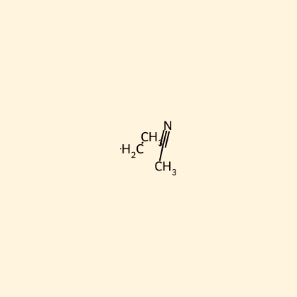 CC#N.[CH2]C